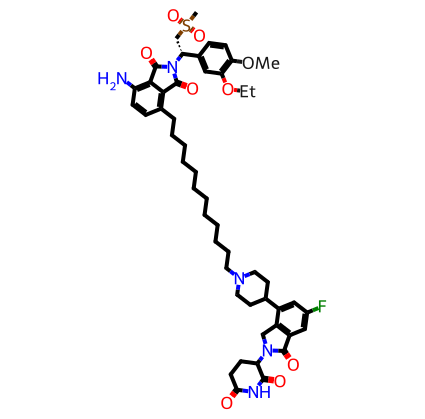 CCOc1cc([C@@H](CS(C)(=O)=O)N2C(=O)c3c(N)ccc(CCCCCCCCCCCCN4CCC(c5cc(F)cc6c5CN(C5CCC(=O)NC5=O)C6=O)CC4)c3C2=O)ccc1OC